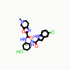 CN1CCc2nc(C(=O)N[C@@H]3CCCC[C@@H]3NC(=O)c3cc4cc(Cl)ccc4[nH]3)oc2C1.Cl